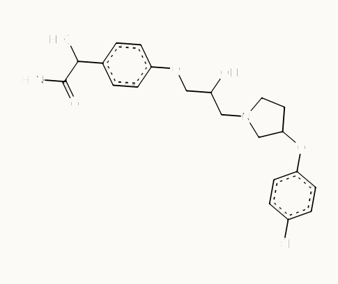 CC(C(N)=O)c1ccc(OCC(O)CN2CCC(Oc3ccc(Cl)cc3)C2)cc1